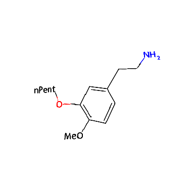 CCCCCOc1cc(CCN)ccc1OC